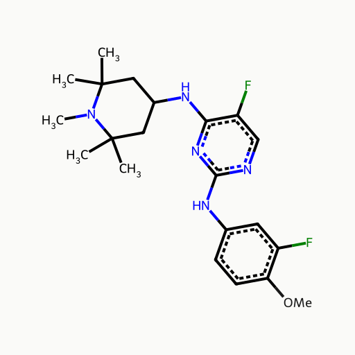 COc1ccc(Nc2ncc(F)c(NC3CC(C)(C)N(C)C(C)(C)C3)n2)cc1F